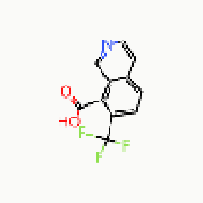 O=C(O)c1c(C(F)(F)F)ccc2ccncc12